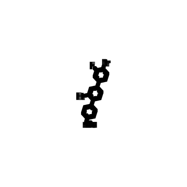 CCCCc1ccc(-c2ccc(-c3ccc(Br)c(F)c3)cc2CC)cc1